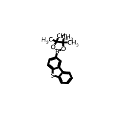 CC1(C)OB(c2ccc3sc4ccccc4c3c2)OC1(C)C